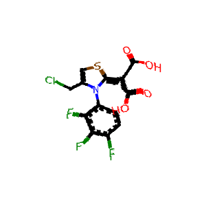 O=C(O)C(C(=O)O)=C1SC=C(CCl)N1c1ccc(F)c(F)c1F